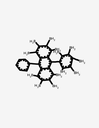 Bc1c(B)c(B)c(-c2c3c(B)c(B)c(B)c(B)c3c(-c3ccccc3)c3c(B)c(B)c(B)c(B)c23)c(B)c1B